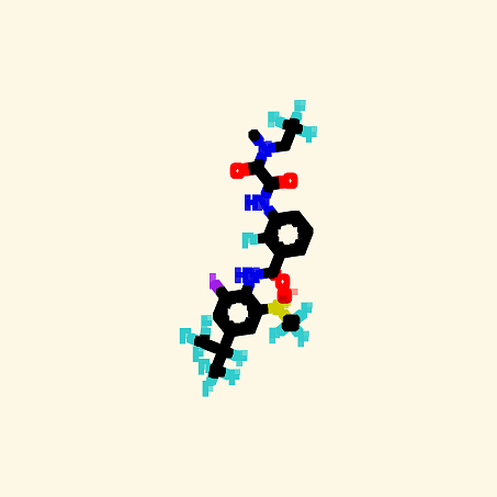 CN(CC(F)(F)F)C(=O)C(=O)Nc1cccc(C(=O)Nc2c(I)cc(C(F)(C(F)(F)F)C(F)(F)F)cc2[S+]([O-])C(F)(F)F)c1F